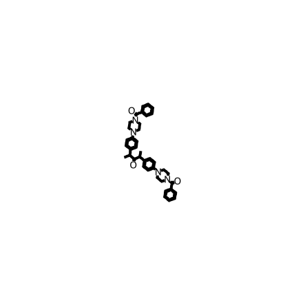 CC(C(=O)C(C)c1ccc(N2CCN(C(=O)c3ccccc3)CC2)cc1)c1ccc(N2CCN(C(=O)c3ccccc3)CC2)cc1